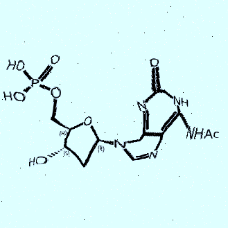 CC(=O)Nc1[nH]c(=O)nc2c1ncn2[C@H]1C[C@H](O)[C@@H](COP(=O)(O)O)O1